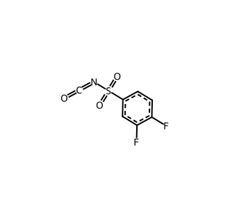 O=C=NS(=O)(=O)c1ccc(F)c(F)c1